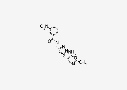 Cc1ncc(Cn2cc(CNC(=O)c3cccc([N+](=O)[O-])c3)nn2)c(N)n1